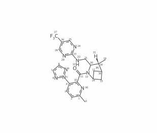 Cc1ccc(-n2nccn2)c(C(=O)N2C3CC(C3)[C@@H](C)C2CNc2ncc(C(F)(F)F)cn2)n1